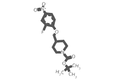 CC(C)(C)OC(=O)N1CCC(COc2ccc([N+](=O)[O-])cc2F)CC1